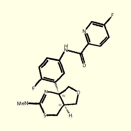 CNC1=N[C@@]2(c3cc(NC(=O)c4ccc(F)cn4)ccc3F)COC[C@H]2CS1